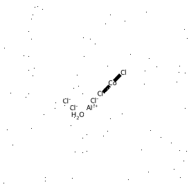 O.[Al+3].[Cl-].[Cl-].[Cl-].[Cl][Co][Cl]